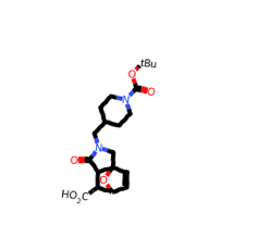 CC(C)(C)OC(=O)N1CCC(CN2CC34C=CC(O3)C(C(=O)O)C4C2=O)CC1